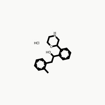 Cc1ccccc1CC(O)c1ccccc1C1CNCCO1.Cl